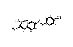 CCN(C(N)=Nc1ccc(OCc2ccc(C#N)cc2)cc1)C(C)C